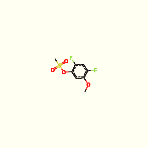 COc1cc(OS(C)(=O)=O)c(F)cc1F